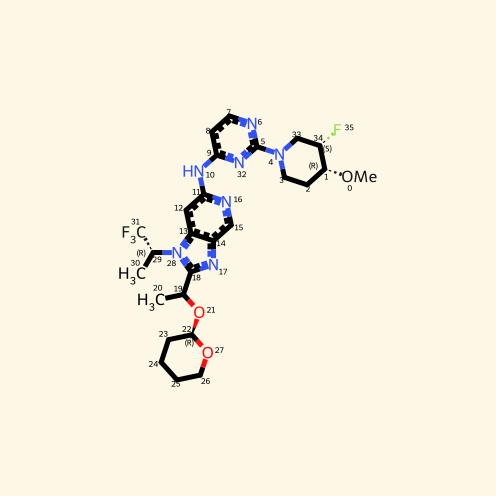 CO[C@@H]1CCN(c2nccc(Nc3cc4c(cn3)nc(C(C)O[C@@H]3CCCCO3)n4[C@H](C)C(F)(F)F)n2)C[C@@H]1F